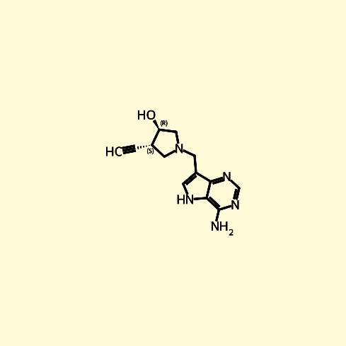 C#C[C@H]1CN(Cc2c[nH]c3c(N)ncnc23)C[C@@H]1O